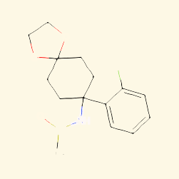 CC(C)(C)[S+]([O-])NC1(c2ccccc2F)CCC2(CC1)OCCO2